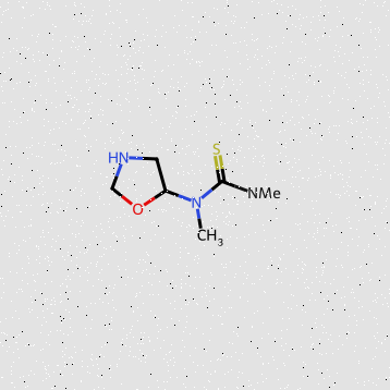 CNC(=S)N(C)C1CNCO1